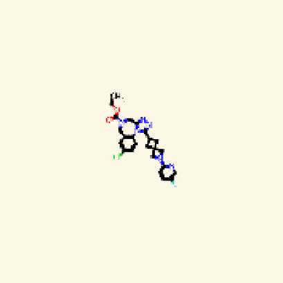 CCOC(=O)N1Cc2cc(Cl)ccc2-n2c(nnc2C2CC3(C2)CN(c2ccc(F)cn2)C3)C1